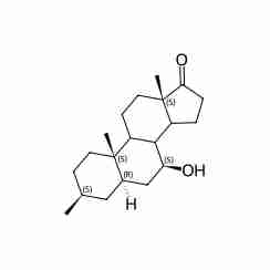 C[C@H]1CC[C@]2(C)C3CC[C@]4(C)C(=O)CCC4C3[C@@H](O)C[C@H]2C1